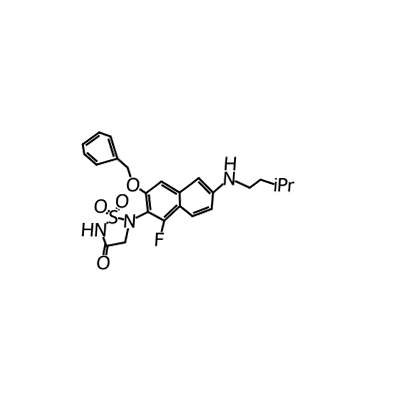 CC(C)CCNc1ccc2c(F)c(N3CC(=O)NS3(=O)=O)c(OCc3ccccc3)cc2c1